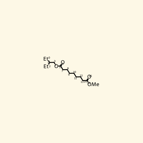 CCC(CC)COC(=O)CCCCCCCC(=O)OC